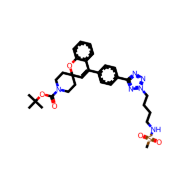 CC(C)(C)OC(=O)N1CCC2(C=C(c3ccc(-c4nnn(CCCCNS(C)(=O)=O)n4)cc3)c3ccccc3O2)CC1